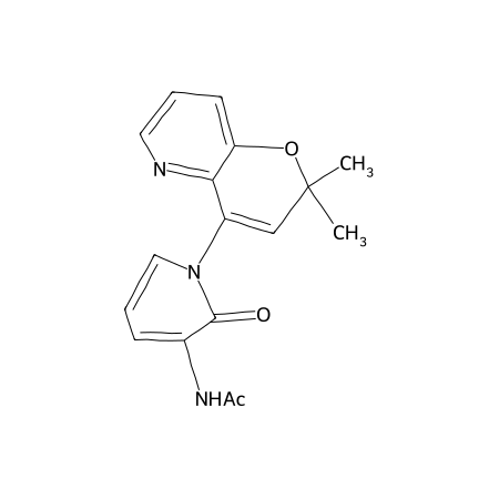 CC(=O)Nc1cccn(C2=CC(C)(C)Oc3cccnc32)c1=O